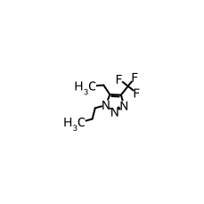 CCCn1nnc(C(F)(F)F)c1CC